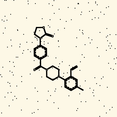 C=Cc1cc(C)ccc1N1CCN(C(=O)c2ccc(N3CCOC3=O)cc2)CC1